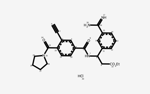 C#Cc1cc(C(=O)NC(CC(=O)OCC)c2cccc(C(=N)N)c2)ccc1C(=O)N1CCCC1.Cl